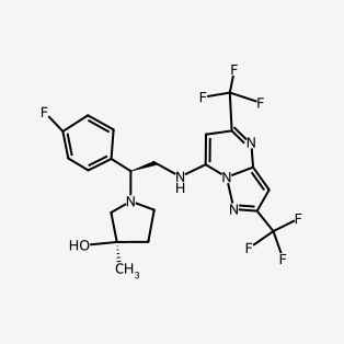 C[C@@]1(O)CCN([C@H](CNc2cc(C(F)(F)F)nc3cc(C(F)(F)F)nn23)c2ccc(F)cc2)C1